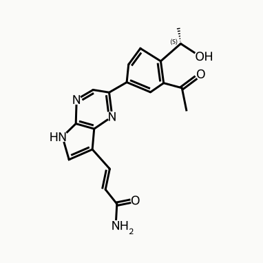 CC(=O)c1cc(-c2cnc3[nH]cc(C=CC(N)=O)c3n2)ccc1[C@H](C)O